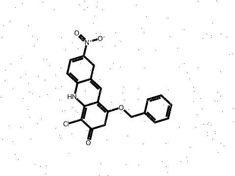 O=C1CC(OCc2ccccc2)=C2C=C3CC([N+](=O)[O-])=CC=C3NC2=C1Cl